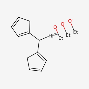 CC[O-].CC[O-].CC[O-].[Hf+3][CH](C1=CC=CC1)C1=CC=CC1